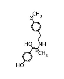 COc1ccc(CCN[C@@H](C)[C@H](O)c2ccc(O)cc2)cc1